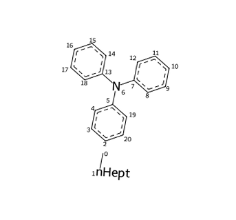 CCCCCCCC.c1ccc(N(c2ccccc2)c2ccccc2)cc1